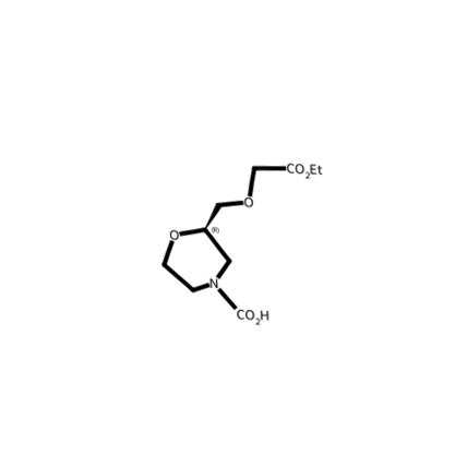 CCOC(=O)COC[C@H]1CN(C(=O)O)CCO1